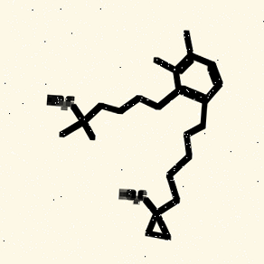 Cc1ccc(CCCCCC2(C(=O)O)CC2)c(CCCCC(C)(C)C(=O)O)c1C